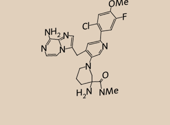 CNC(=O)C1(N)CCCN(c2cnc(-c3cc(F)c(OC)cc3Cl)cc2Cc2cnc3c(N)nccn23)C1